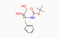 CC(C)(C)OC(=O)N[C@H](Cc1ccccc1)[C@@H](O)CO